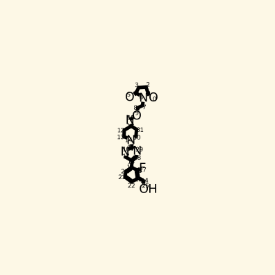 O=C1CCC(=O)N1CCON=C1CCN(c2ncc(-c3cccc(CO)c3F)cn2)CC1